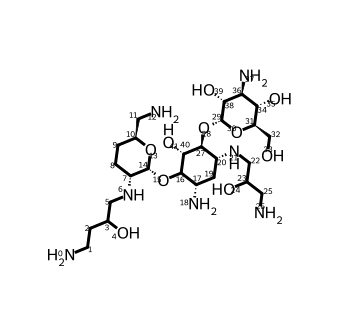 NCCC(O)CN[C@@H]1CC[C@@H](CN)O[C@@H]1OC1[C@@H](N)C[C@@H](NCC(O)CN)[C@H](O[C@H]2O[C@H](CO)[C@@H](O)[C@H](N)[C@H]2O)[C@H]1O